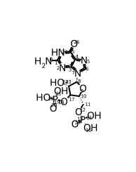 Nc1nc2c(ncn2[C@@H]2O[C@H](COP(=O)(O)O)C(OP(=O)(O)O)[C@@H]2O)c(=O)[nH]1